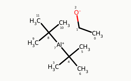 CC[O-].C[C](C)(C)[Al+][C](C)(C)C